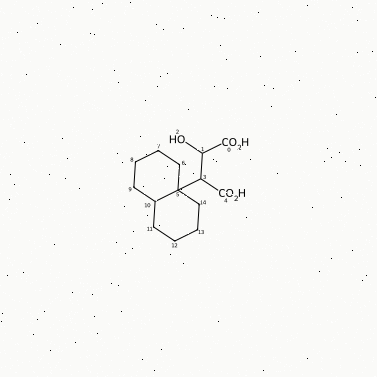 O=C(O)C(O)C(C(=O)O)C12CCCCC1CCCC2